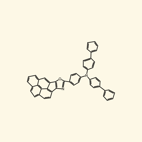 c1ccc(-c2ccc(N(c3ccc(-c4ccccc4)cc3)c3ccc(-c4nc5c(o4)-c4cc6cccc7ccc8ccc-5c4c8c76)cc3)cc2)cc1